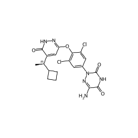 C[C@@H](c1cc(Oc2c(Cl)cc(-n3nc(N)c(=O)[nH]c3=O)cc2Cl)n[nH]c1=O)C1CCC1